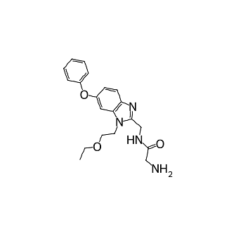 CCOCCn1c(CNC(=O)CN)nc2ccc(Oc3ccccc3)cc21